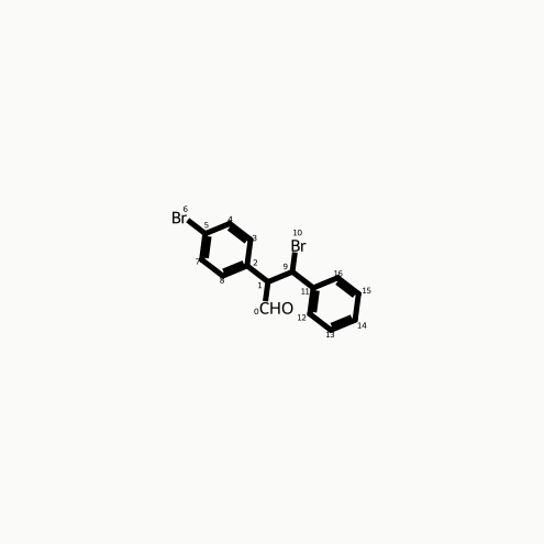 O=CC(c1ccc(Br)cc1)C(Br)c1ccccc1